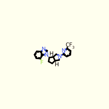 Fc1cccc2ncn([C@H]3CC[C@@H]4CN(c5cccc(C(F)(F)F)n5)C[C@@H]43)c12